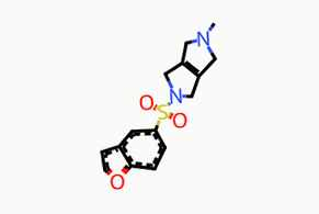 CN1CC2=C(C1)CN(S(=O)(=O)c1ccc3occc3c1)C2